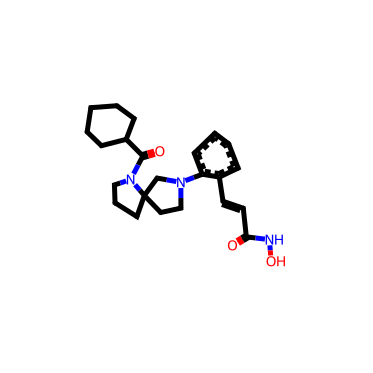 O=C(C=Cc1ccccc1N1CCC2(CCCN2C(=O)C2CCCCC2)C1)NO